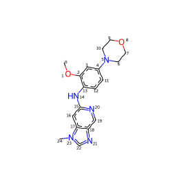 COc1cc(N2CCOCC2)ccc1Nc1cc2c(cn1)ncn2C